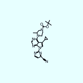 CC1CN(C(=O)OC(C)(C)C)CCN1c1ncnc2c1c(C1CC1)cn2-c1nccc(C#N)n1